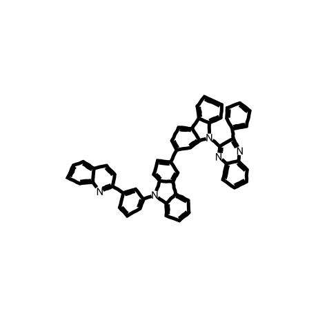 c1ccc(-c2nc3ccccc3nc2-n2c3ccccc3c3ccc(-c4ccc5c(c4)c4ccccc4n5-c4cccc(-c5ccc6ccccc6n5)c4)cc32)cc1